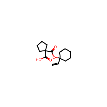 C=CC1(OC(=O)C2(C(=O)O)CCCC2)CCCCC1